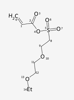 C=CC(=O)OS(=O)(=O)CCOCCOCC